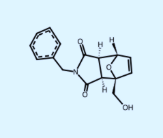 O=C1[C@H]2[C@@H]3C=C[C@@](CO)(O3)[C@H]2C(=O)N1Cc1ccccc1